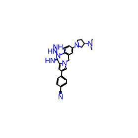 CN(C)[C@@H]1CCN(c2ccc3c(c2)Cn2cc(-c4ccc(C#N)cc4)cc2C(=N)N3NN)C1